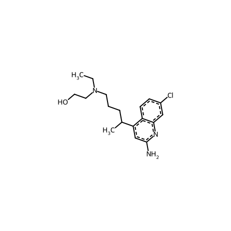 CCN(CCO)CCCC(C)c1cc(N)nc2cc(Cl)ccc12